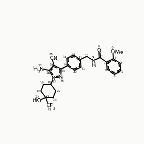 COc1ccccc1C(=O)NCc1ccc(-c2nn(C3CCC(O)(C(F)(F)F)CC3)c(N)c2C#N)cc1